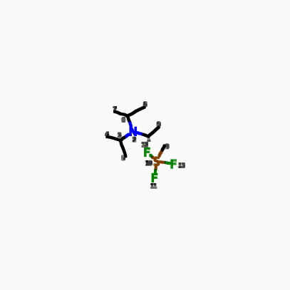 CCN(C(C)C)C(C)C.CS(F)(F)F